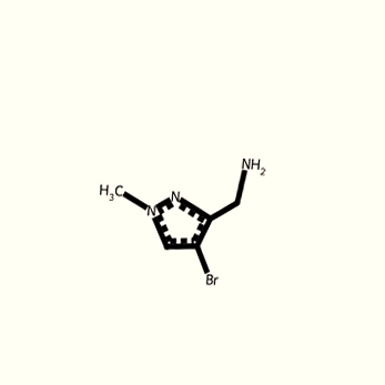 Cn1cc(Br)c(CN)n1